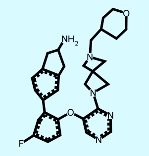 NC1Cc2ccc(-c3cc(F)ccc3Oc3cncnc3N3CC4(CN(CC5CCOCC5)C4)C3)cc2C1